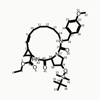 CCOC(=O)C12CC1C=CCCCCCN(Cc1ccc(OC)cc1)C(=O)N1CC(O[Si](C)(C)C(C)(C)C)CC1C(=O)N2